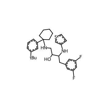 CC(C)(C)c1cccc(C2(NCC(O)C(Cc3cc(F)cc(F)c3)Nc3ccsc3)CCCCC2)c1